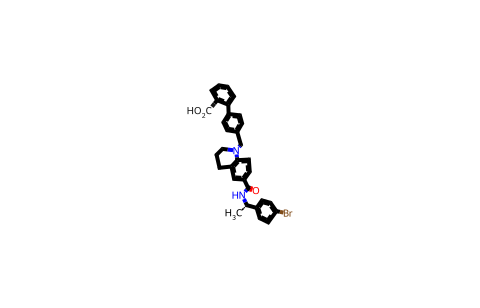 C[C@H](NC(=O)c1ccc2c(c1)CCCN2Cc1ccc(-c2ccccc2C(=O)O)cc1)c1ccc(Br)cc1